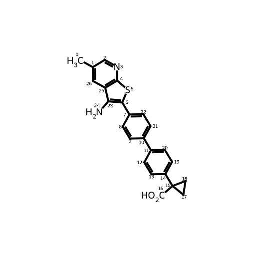 Cc1cnc2sc(-c3ccc(-c4ccc(C5(C(=O)O)CC5)cc4)cc3)c(N)c2c1